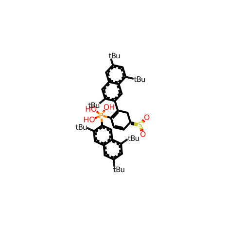 CC(C)(C)c1cc(C(C)(C)C)c2cc(C3=C(P(O)(O)(O)c4cc5c(C(C)(C)C)cc(C(C)(C)C)cc5cc4C(C)(C)C)C=CC(=S(=O)=O)C3)c(C(C)(C)C)cc2c1